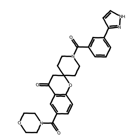 O=C1CC2(CCN(C(=O)c3cccc(-c4cc[nH]n4)c3)CC2)Oc2ccc(C(=O)N3CCOCC3)cc21